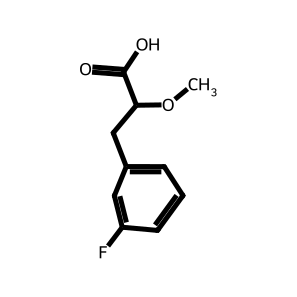 COC(Cc1cccc(F)c1)C(=O)O